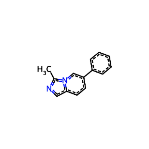 Cc1ncc2ccc(-c3ccccc3)cn12